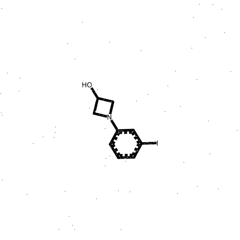 OC1CN(c2cccc(I)c2)C1